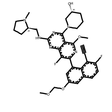 C#Cc1c(F)ccc2cc(OCOC)cc(-c3nc(OC)c4c(N5CCC[C@@H](O)C5)nc(NC[C@H]5CCCN5C)nc4c3F)c12